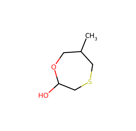 CC1COC(O)CSC1